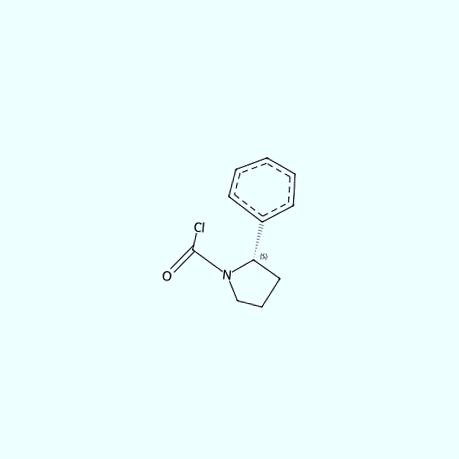 O=C(Cl)N1CCC[C@H]1c1ccccc1